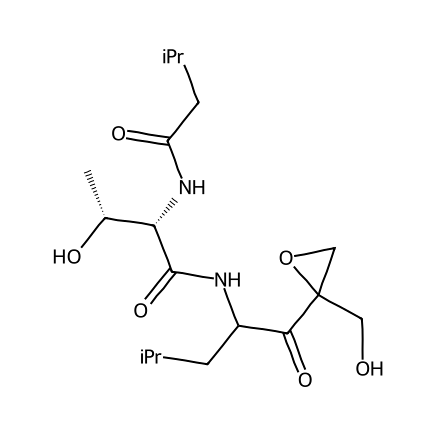 CC(C)CC(=O)N[C@H](C(=O)NC(CC(C)C)C(=O)C1(CO)CO1)[C@@H](C)O